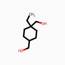 CCC1(CO)CCC(CO)CC1